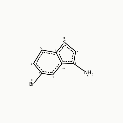 Nc1csc2ccc(Br)cc12